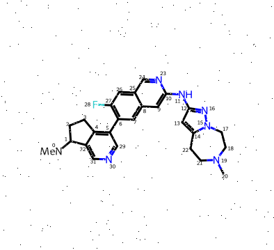 CNC1CCc2c(-c3cc4cc(Nc5cc6n(n5)CCN(C)CC6)ncc4cc3F)cncc21